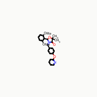 COc1cccc(OC)c1C1OC(C)(C)C(=O)N1Cc1ccc(Oc2ccccn2)cc1